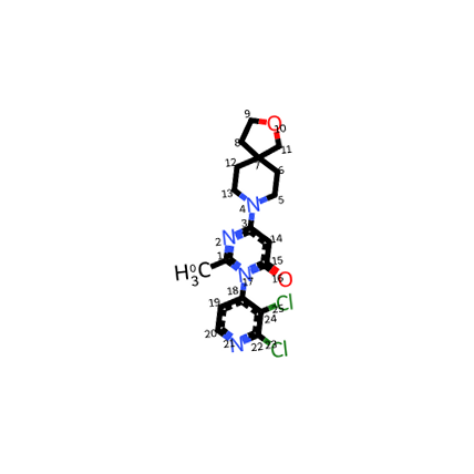 Cc1nc(N2CCC3(CCOC3)CC2)cc(=O)n1-c1ccnc(Cl)c1Cl